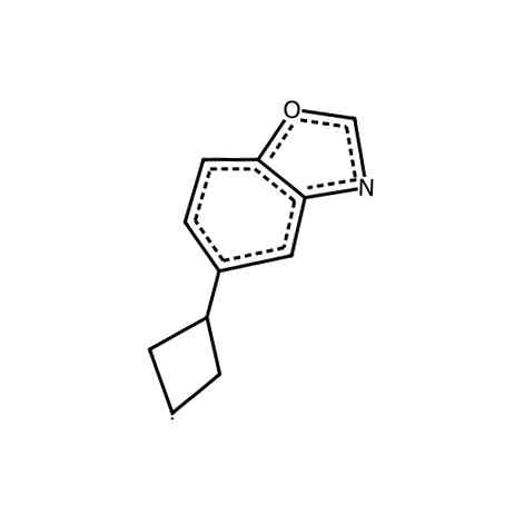 [CH]1CC(c2ccc3ocnc3c2)C1